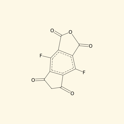 O=C1CC(=O)c2c(F)c3c(c(F)c21)C(=O)OC3=O